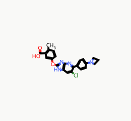 Cc1ccc(Oc2nc3nc(-c4ccc(N5CCC5)cc4)c(Cl)cc3[nH]2)cc1C(=O)O